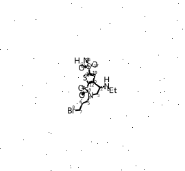 CCNC1CN(CCCBr)S(=O)(=O)c2sc(S(N)(=O)=O)cc21